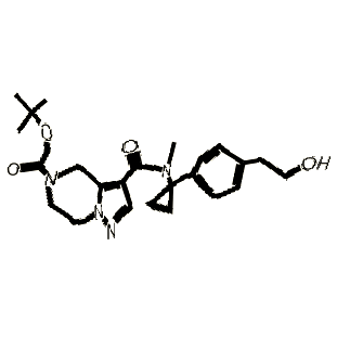 CN(C(=O)c1cnn2c1CN(C(=O)OC(C)(C)C)CC2)C1(c2ccc(CCO)cc2)CC1